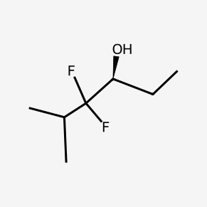 CC[C@H](O)C(F)(F)C(C)C